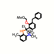 CCC(C)(Pc1c(C)cccc1N(C)C)c1cccc(Cc2ccccc2)c1OCOC